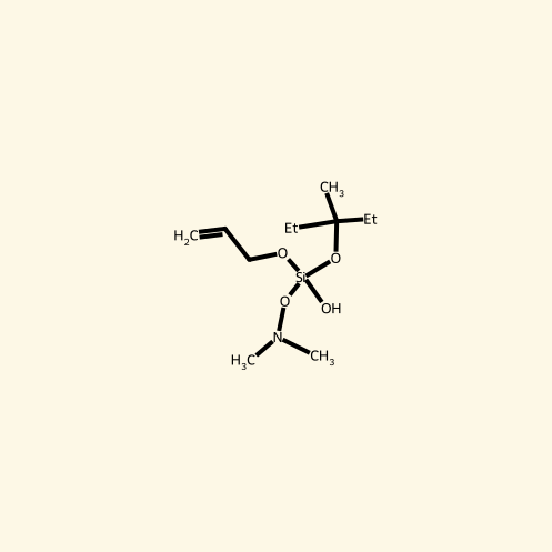 C=CCO[Si](O)(ON(C)C)OC(C)(CC)CC